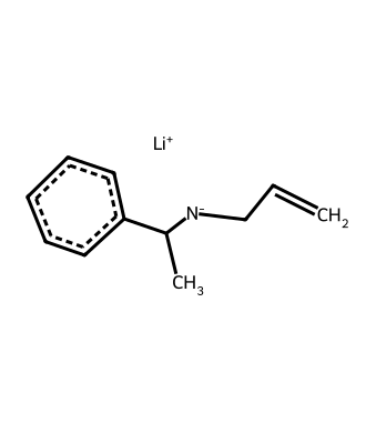 C=CC[N-]C(C)c1ccccc1.[Li+]